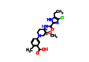 CCc1[nH]c(C(=O)N[C@@H]2CCN(c3ccc(C)c(C(=O)O)c3)C[C@@H]2OC)nc1Cl